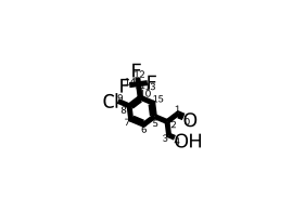 O=CC(CO)c1ccc(Cl)c(C(F)(F)F)c1